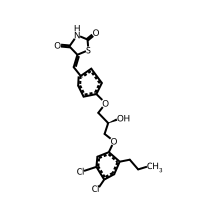 CCCc1cc(Cl)c(Cl)cc1OC[C@H](O)COc1ccc(/C=C2\SC(=O)NC2=O)cc1